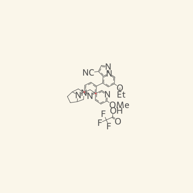 CCOc1cc(-c2ccc(N3C4CCC3CN(Cc3ccc(OC)nc3)C4)nc2)c2c(C#N)cnn2c1.O=C(O)C(F)(F)F